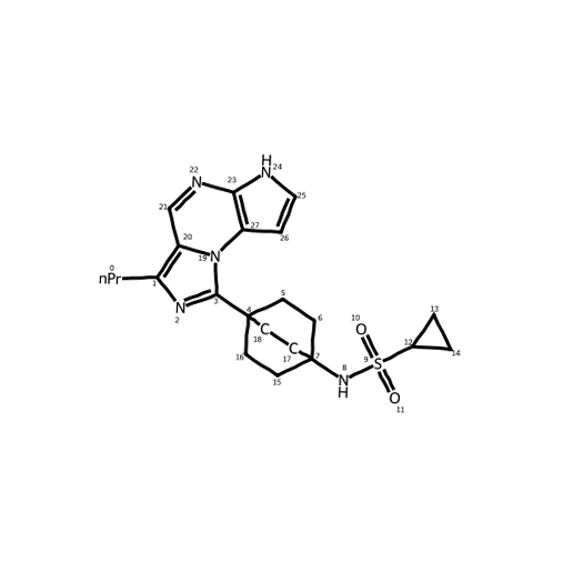 CCCc1nc(C23CCC(NS(=O)(=O)C4CC4)(CC2)CC3)n2c1cnc1[nH]ccc12